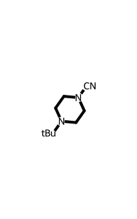 CC(C)(C)N1CCN(C#N)CC1